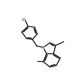 Cc1cn(Cc2ccc(Cl)cc2)c2c(C)cccc12